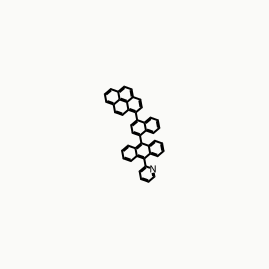 c1ccc(-c2c3ccccc3c(-c3ccc(-c4ccc5ccc6cccc7ccc4c5c67)c4ccccc34)c3ccccc23)nc1